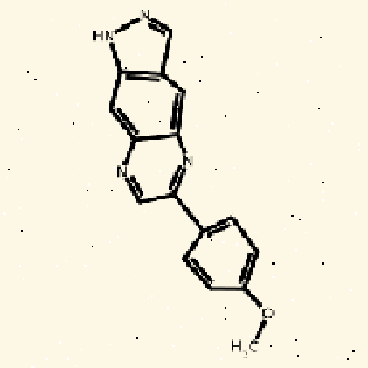 COc1ccc(-c2cnc3cc4[nH]ncc4cc3n2)cc1